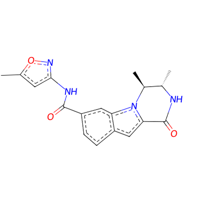 Cc1cc(NC(=O)c2ccc3cc4n(c3c2)[C@@H](C)[C@H](C)NC4=O)no1